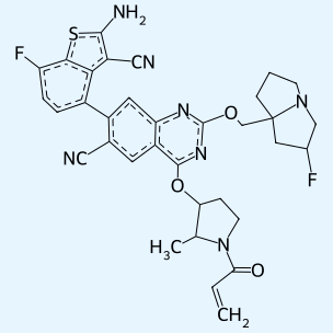 C=CC(=O)N1CCC(Oc2nc(OCC34CCCN3CC(F)C4)nc3cc(-c4ccc(F)c5sc(N)c(C#N)c45)c(C#N)cc23)C1C